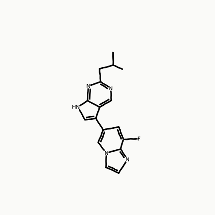 CC(C)Cc1ncc2c(-c3cc(F)c4nccn4c3)c[nH]c2n1